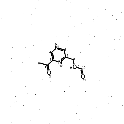 CC(=O)c1cncc(COC=O)n1